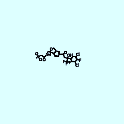 CS(=O)(=O)CC(=O)N1CC2(C1)OCc1cc(C(=O)CC(O)(c3cc(Cl)c(F)c(Cl)c3)C(F)(F)F)ccc12